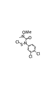 CON(C)C(=O)N(SCl)c1ccc(Cl)c(Cl)c1